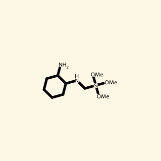 CO[Si](CNC1CCCCC1N)(OC)OC